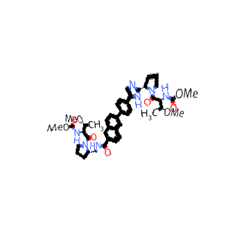 COC(=O)N[C@H](C(=O)N1CCC[C@H]1CNC(=O)c1ccc2cc(-c3ccc(-c4cnc([C@@H]5CCCN5C(=O)[C@@H](NC(=O)OC)[C@@H](C)OC)[nH]4)cc3)ccc2c1)[C@@H](C)OC